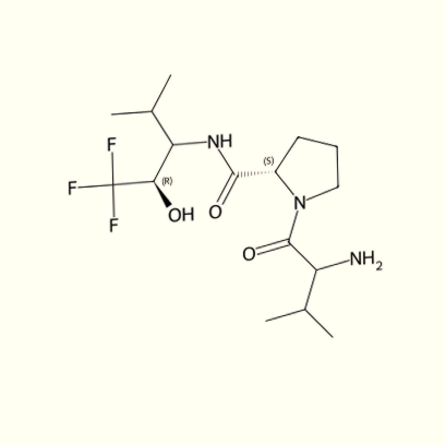 CC(C)C(N)C(=O)N1CCC[C@H]1C(=O)NC(C(C)C)[C@@H](O)C(F)(F)F